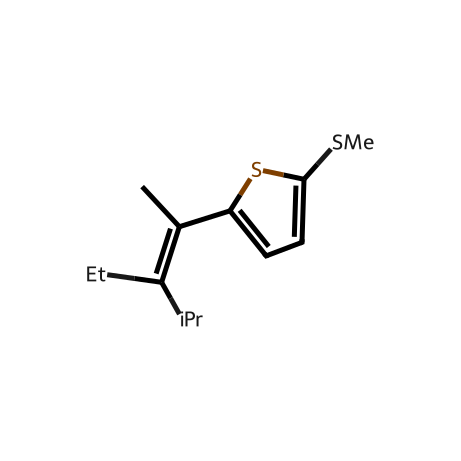 CC/C(=C(\C)c1ccc(SC)s1)C(C)C